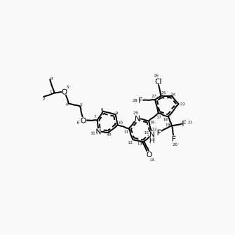 CC(C)OCCOc1ccc(-c2cc(=O)[nH]c(-c3c(C(F)(F)F)ccc(Cl)c3F)n2)cn1